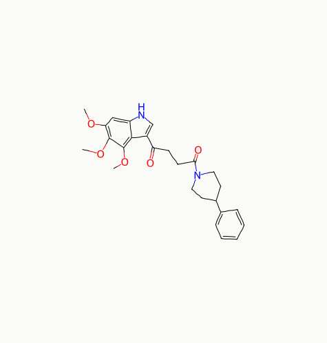 COc1cc2[nH]cc(C(=O)CCC(=O)N3CCC(c4ccccc4)CC3)c2c(OC)c1OC